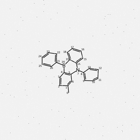 Cc1ccc2c(c1)N(c1ccccc1)c1ccccc1B2c1ccccc1